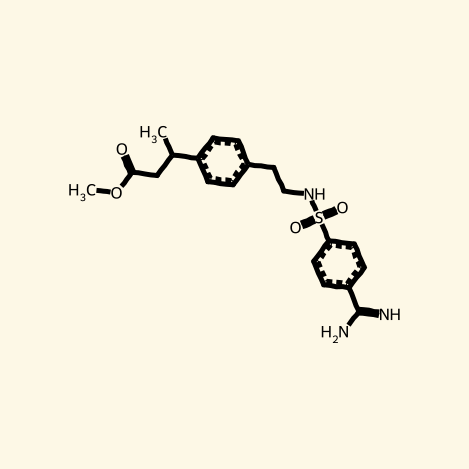 COC(=O)CC(C)c1ccc(CCNS(=O)(=O)c2ccc(C(=N)N)cc2)cc1